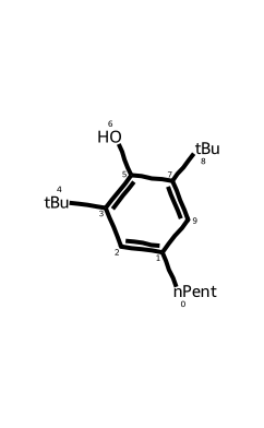 CCC[CH]Cc1cc(C(C)(C)C)c(O)c(C(C)(C)C)c1